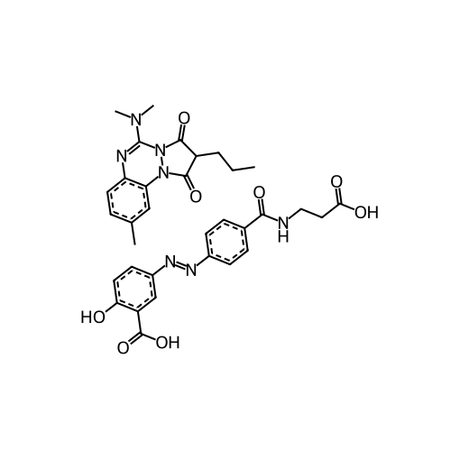 CCCC1C(=O)N2C(N(C)C)=Nc3ccc(C)cc3N2C1=O.O=C(O)CCNC(=O)c1ccc(/N=N/c2ccc(O)c(C(=O)O)c2)cc1